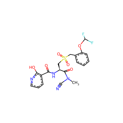 CN(C#N)C(=O)[C@H](CS(=O)(=O)Cc1ccccc1OC(F)F)NC(=O)c1cccnc1O